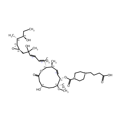 CC[C@@H](O)[C@@H](C)[C@H]1O[C@@H]1CC(C)(O)/C=C/C=C(\C)[C@H]1OC(=O)C[C@@H](O)CC[C@](C)(OC)[C@@H](OC(=O)N2CCN(CCCC(=O)O)CC2)/C=C/[C@@H]1C